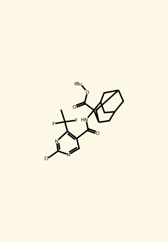 CC(C)(C)OC(=O)C1(NC(=O)c2cnc(Cl)nc2C(C)(F)F)C2CC3CC(C2)CC1C3